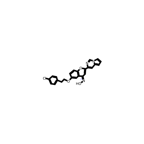 O/N=c1/cc(-c2cc3cccn3cn2)oc2ccc(OCCc3ccc(Cl)cc3)cc12